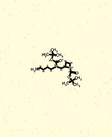 CC(C)(C)OC(=O)N(CCCCN)CC1CCN1C(=O)OC(C)(C)C